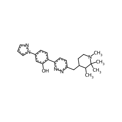 CC1C(Cc2ccc(-c3ccc(-n4cccn4)cc3O)nn2)CCN(C)C1(C)C